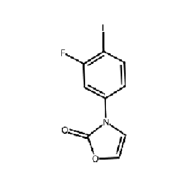 O=c1occn1-c1ccc(I)c(F)c1